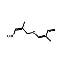 C=CC(C)=COCC(C)=CC=O